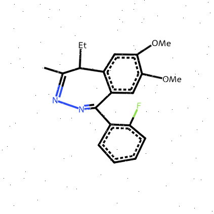 CCC1C(C)=NN=C(c2ccccc2F)c2cc(OC)c(OC)cc21